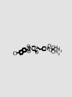 CC(C)(C)OC(=O)N1CCC(CCN2CCN(S(=O)(=O)c3ccc4cc(Cl)ccc4c3)CC2=O)CC1